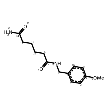 COc1ccc(CNC(=O)CCCCC(N)=O)cc1